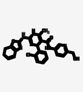 CC1=C(C(=O)Nc2ccc(CO)nc2)C(c2ccccc2Cl)N=C(Nc2nc3c(o2)CCC=C3)N1